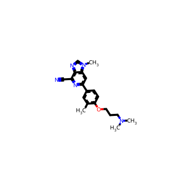 Cc1cc(-c2cc3c(ncn3C)c(C#N)n2)ccc1OCCCN(C)C